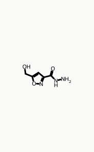 NNC(=O)c1cc(CO)on1